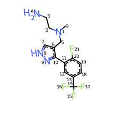 CN(CCN)Cc1c[nH]nc1-c1cc(C(F)(F)F)ccc1F